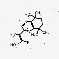 CC(=C(F)C(=O)O)c1cnc2c(n1)C(C)(C)CCC2(C)C